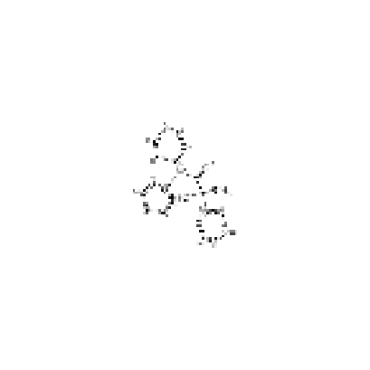 CC(C)(C(=O)N(c1ccccc1)c1ccccc1)c1ccccc1